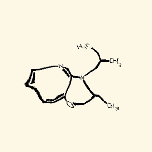 CC(C)N1c2ncccc2OC1C